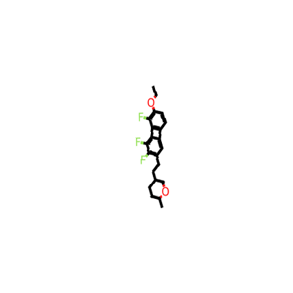 CCOc1ccc2c(c1F)-c1c-2cc(CCC2CCC(C)OC2)c(F)c1F